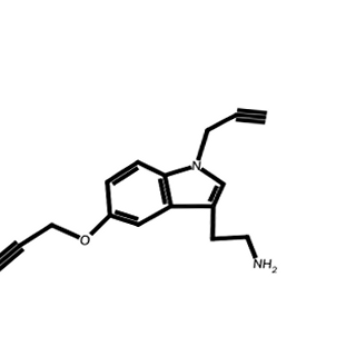 C#CCOc1ccc2c(c1)c(CCN)cn2CC#C